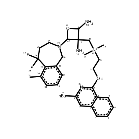 CCCCc1cc2ccccc2c(OCC[N+](C)(C)CC2(N)C(N)OC2N2CCC(F)(F)c3c(C)cccc3C2)n1